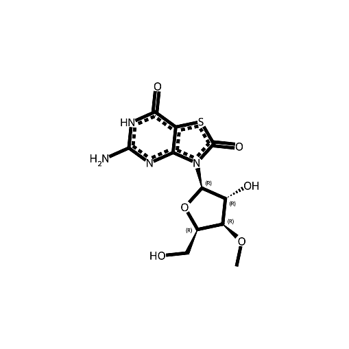 CO[C@@H]1[C@@H](O)[C@H](n2c(=O)sc3c(=O)[nH]c(N)nc32)O[C@@H]1CO